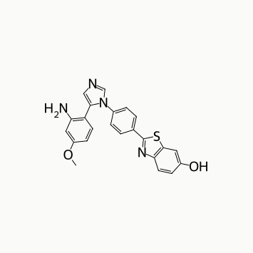 COc1ccc(-c2cncn2-c2ccc(-c3nc4ccc(O)cc4s3)cc2)c(N)c1